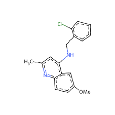 COc1ccc2nc(C)cc(NCc3ccccc3Cl)c2c1